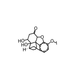 O=C1CC(O)C2(O)[C@@H]3CCCC24c2c(ccc(OI)c2OC14)C3